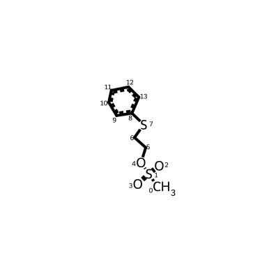 CS(=O)(=O)OCCSc1ccccc1